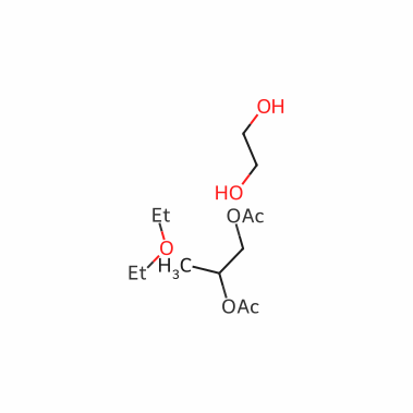 CC(=O)OCC(C)OC(C)=O.CCOCC.OCCO